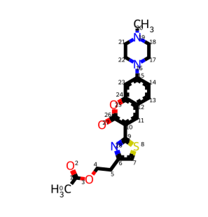 CC(=O)OCCc1csc(-c2cc3ccc(N4CCN(C)CC4)cc3oc2=O)n1